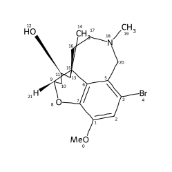 COc1cc(Br)c2c3c1O[C@H]1C[C@@H](O)C(C)[C@@]31CCN(C)C2